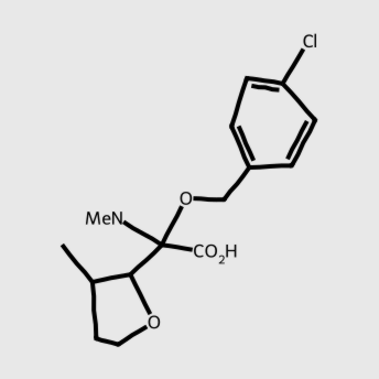 CNC(OCc1ccc(Cl)cc1)(C(=O)O)C1OCCC1C